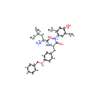 Cc1cc(NC(=O)C(Cc2ccc(OCc3ccccc3)cc2)NC(=O)C(N)CC(C)C)c(C)cc1O